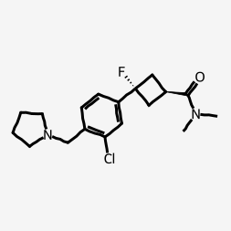 CN(C)C(=O)[C@H]1C[C@@](F)(c2ccc(CN3CCCC3)c(Cl)c2)C1